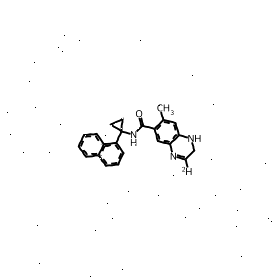 [2H]C1=Nc2cc(C(=O)NC3(c4cccc5ccccc45)CC3)c(C)cc2NC1